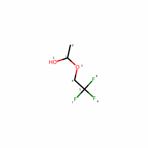 CC(O)OCC(F)(F)F